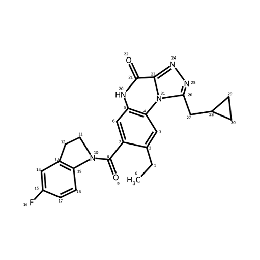 CCc1cc2c(cc1C(=O)N1CCc3cc(F)ccc31)[nH]c(=O)c1nnc(CC3CC3)n12